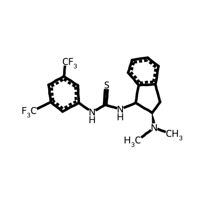 CN(C)[C@@H]1Cc2ccccc2C1NC(=S)Nc1cc(C(F)(F)F)cc(C(F)(F)F)c1